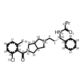 CC(C)C(=O)N[C@@H](CCN1CC2CN(C(=O)c3c(F)cccc3Cl)CC2C1)c1ccccc1